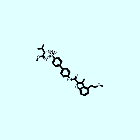 COCCc1cccc2oc(C(=O)Nc3ccc(-c4ccc(S(=O)(=O)N[C@H](C(=O)OC)C(C)C)cc4)cc3)c(C)c12